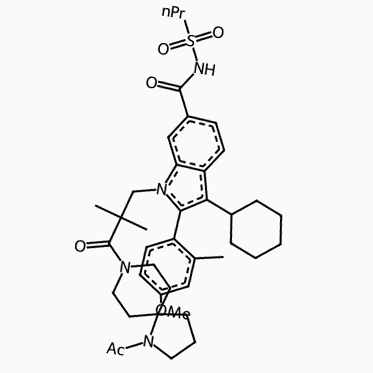 CCCS(=O)(=O)NC(=O)c1ccc2c(C3CCCCC3)c(-c3ccc(OC)cc3C)n(CC(C)(C)C(=O)N3CCC4(CCCN4C(C)=O)CC3)c2c1